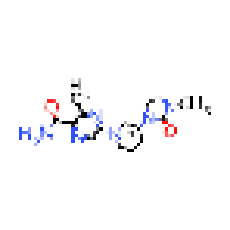 Cc1nc(N2CCC[C@H](N3CCN(C)C3=O)C2)cnc1C(N)=O